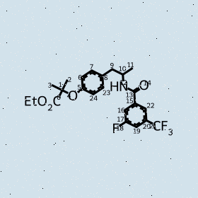 CCOC(=O)C(C)(C)Oc1ccc(CC(C)NC(=O)c2cc(F)cc(C(F)(F)F)c2)cc1